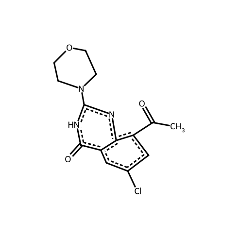 CC(=O)c1cc(Cl)cc2c(=O)[nH]c(N3CCOCC3)nc12